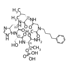 CC(=O)N(CCCCc1ccccc1)CC(=O)N[C@@H](CC(C)C)C(=O)N[C@@H](CC1CNC=N1)C(=O)N[C@@H](CO)C(=O)N[C@H](C(N)=O)[C@@H](C)OP(=O)(O)O